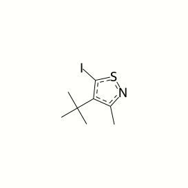 Cc1nsc(I)c1C(C)(C)C